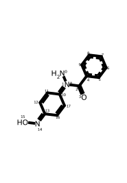 N[N+](C(=O)c1ccccc1)=C1C=CC(=NO)C=C1